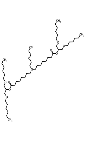 CCCCCCOCC(COCCCCCC)OC(=O)CCCCCCCN(CCCCCCCC(=O)OC(COCCCCCC)COCCCCCC)CCOCCO